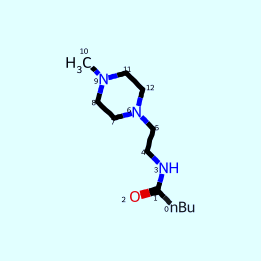 CCCCC(=O)NCCN1CCN(C)CC1